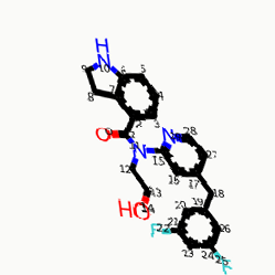 O=C(c1cccc2c1CCN2)N(CCO)c1cc(Cc2cc(F)cc(F)c2)ccn1